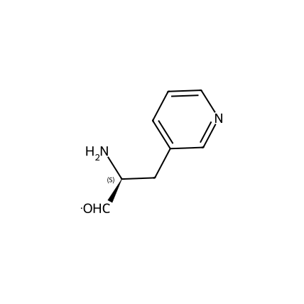 N[C@H]([C]=O)Cc1cccnc1